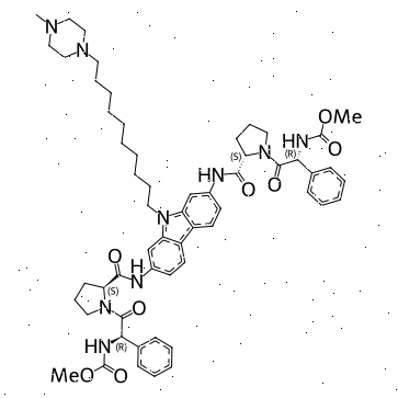 COC(=O)N[C@@H](C(=O)N1CCC[C@H]1C(=O)Nc1ccc2c3ccc(NC(=O)[C@@H]4CCCN4C(=O)[C@H](NC(=O)OC)c4ccccc4)cc3n(CCCCCCCCCCN3CCN(C)CC3)c2c1)c1ccccc1